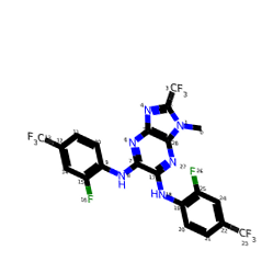 Cn1c(C(F)(F)F)nc2nc(Nc3ccc(C(F)(F)F)cc3F)c(Nc3ccc(C(F)(F)F)cc3F)nc21